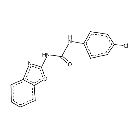 O=C(Nc1ccc(Cl)cc1)Nc1nc2ccccc2o1